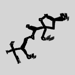 CC1=NOC(C)(C(=O)O/N=C(\C)C(F)(F)F)C1